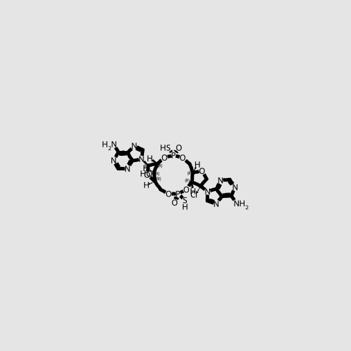 Nc1ncnc2c1ncn2[C@@H]1O[C@@H]2COP(=O)(S)O[C@@H]3[C@@H](COP(=O)(S)O[C@@H]1[C@@H]2O)OC[C@@]3(Cl)n1cnc2c(N)ncnc21